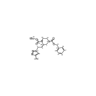 CC(=O)c1cn(CC[C@@H]2CN(C(=O)OCc3ccccc3)CCN2C(=O)OC(C)(C)C)nn1